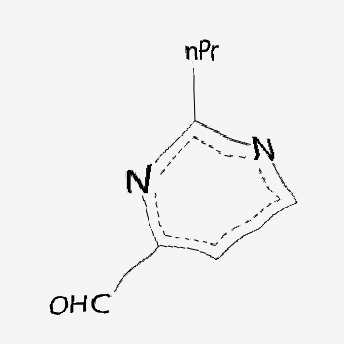 CCCc1nccc(C=O)n1